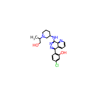 CC(CO)N1CCCC(Nc2nnc(-c3ccc(Cl)cc3O)c3cccnc23)C1